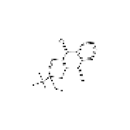 CCC1(C(C)(C)C)C=CC2=C(C1)C(=O)c1ccccc1C2=O